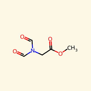 COC(=O)CN(C=O)C=O